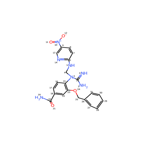 N=C(N)N(CNc1ccc([N+](=O)[O-])cn1)c1ccc(C(N)=O)cc1OCc1ccccc1